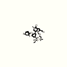 CCS(=O)(=O)Nc1ccc(Oc2ccc(F)cc2F)c(-c2cn(C)c(=O)c3cc(C#N)n(COCC[Si](C)(C)C)c23)c1